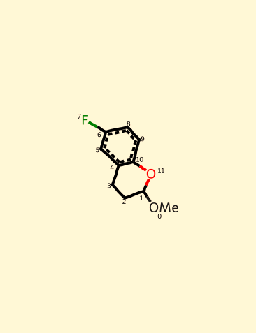 COC1CCc2cc(F)ccc2O1